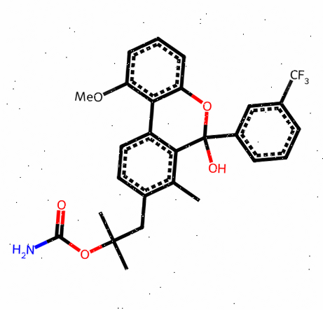 COc1cccc2c1-c1ccc(CC(C)(C)OC(N)=O)c(C)c1C(O)(c1cccc(C(F)(F)F)c1)O2